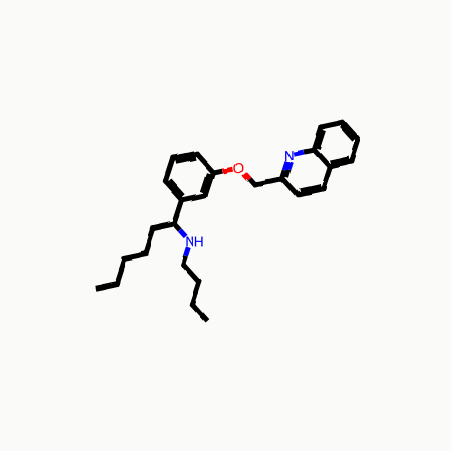 CCCCCC(NCCCC)c1cccc(OCc2ccc3ccccc3n2)c1